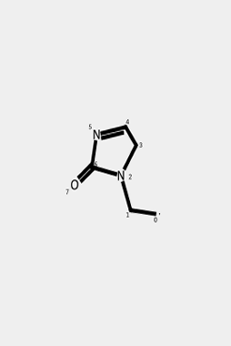 [CH2]CN1CC=NC1=O